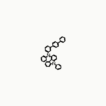 c1ccc(-c2ccc(-c3cccc(N(c4ccccc4)c4cccc5c4c4ccccc4n5-c4ccccc4)c3)cc2)cc1